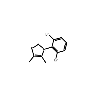 CC1=C(C)N(c2c(Br)cccc2Br)[C]S1